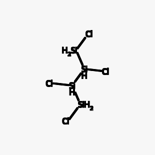 Cl[SiH2][SiH](Cl)[SiH](Cl)[SiH2]Cl